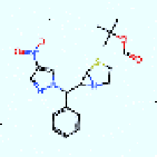 CC(C)(C)OC=O.O=[N+]([O-])c1cnn(C(c2ccccc2)C2C3SCCN32)c1